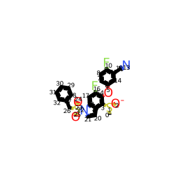 C[S+]([O-])c1c(Oc2ccc(F)c(C#N)c2)c(F)cc2c1ccn2S(=O)(=O)Cc1ccccc1